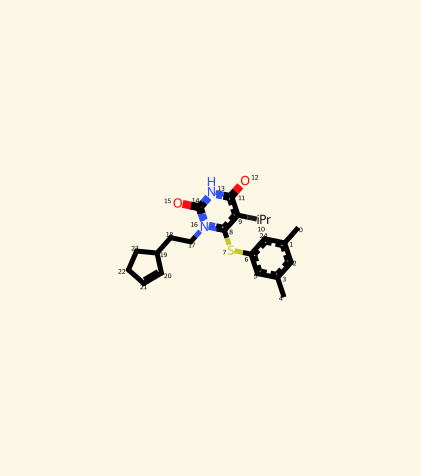 Cc1cc(C)cc(Sc2c(C(C)C)c(=O)[nH]c(=O)n2CCC2C=CCC2)c1